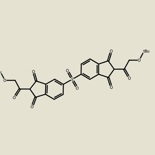 CC(C)(C)OCC(=O)C1C(=O)c2ccc(S(=O)(=O)c3ccc4c(c3)C(=O)C(C(=O)COC(C)(C)C)C4=O)cc2C1=O